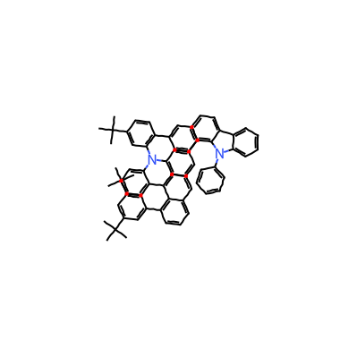 CC(C)(C)c1cc(-c2cccc3cccc(-c4ccccc4N(c4cccc(-c5cccc6c7ccccc7n(-c7ccccc7)c56)c4)c4cc(C(C)(C)C)ccc4-c4ccccc4)c23)cc(C(C)(C)C)c1